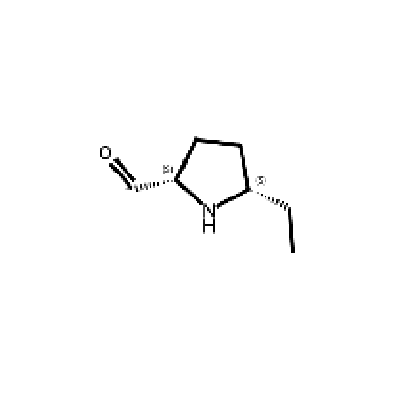 CC[C@H]1CC[C@@H]([C]=O)N1